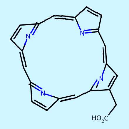 O=C(O)CC1=CC2=CC3=NC(=CC4=NC(=CC5=NC(=CC1=N2)C=C5)C=C4)C=C3